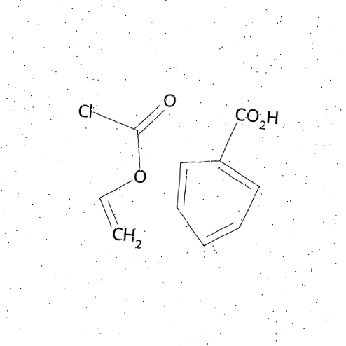 C=COC(=O)Cl.O=C(O)c1ccccc1